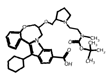 CN(CCN1CCCC1COC1COc2ccccc2-c2c(C3CCCCC3)c3ccc(C(=O)O)cc3n2C1)C(=O)OC(C)(C)C